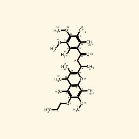 CCCOc1c(C)c2c(c(C)c1OC)OC(C(C)CC(=O)c1c(C)c(C)c(OC)c(OC)c1C)=C(C)C2C